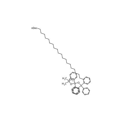 CCCCCCCCCCCCCCCCCCCCCCCCCCCCCCc1ccccc1[Si](O[Si](O[Si](C)(C)C)(c1ccccc1)c1ccccc1)(c1ccccc1)c1ccccc1